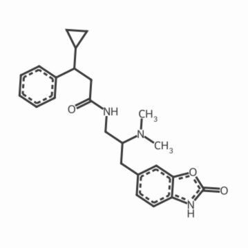 CN(C)C(CNC(=O)CC(c1ccccc1)C1CC1)Cc1ccc2[nH]c(=O)oc2c1